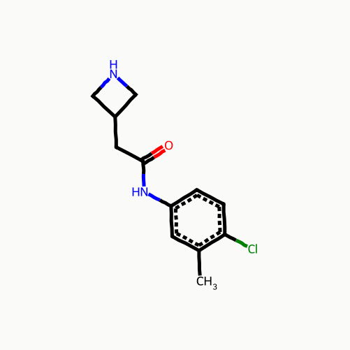 Cc1cc(NC(=O)CC2CNC2)ccc1Cl